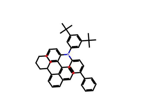 CC(C)(C)c1cc(N(c2ccc(-c3ccccc3)cc2)c2ccccc2-c2cccc3cccc(C4CCCCC4)c23)cc(C(C)(C)C)c1